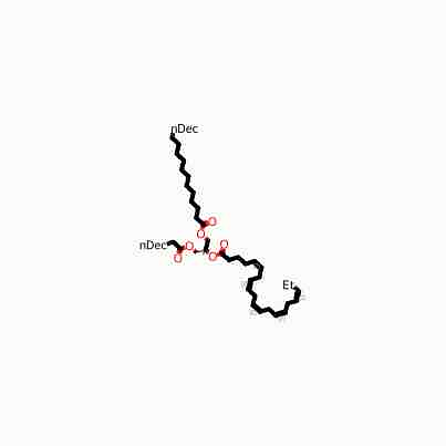 CC/C=C\C/C=C\C/C=C\C/C=C\C/C=C\CCCC(=O)O[C@H](COC(=O)CCCCCCCCCCC)COC(=O)CCCCCCCCCCCCCCCCCCCCC